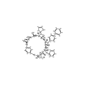 O=C1C[C@@H](O)C(=O)Nc2ccc(cc2)C[C@@H](C(=O)O)NC(=O)[C@@H](Cc2ccccc2)NC(=O)[C@@H](Cc2ccc(-c3ccccc3)cc2)NC(=O)[C@H](CC2CC=CS2)N1